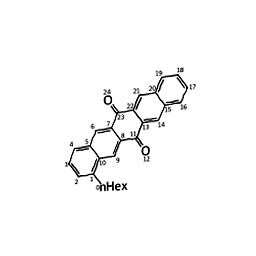 CCCCCCc1cccc2cc3c(cc12)C(=O)c1cc2ccccc2cc1C3=O